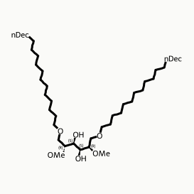 CCCCCCCCCCCCCCCCCCCCCCOC[C@@H](OC)[C@@H](O)[C@H](O)[C@@H](COCCCCCCCCCCCCCCCCCCCCCC)OC